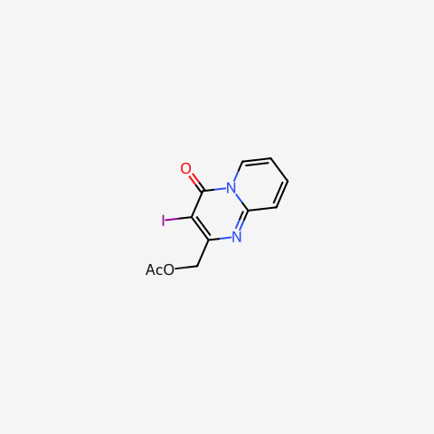 CC(=O)OCc1nc2ccccn2c(=O)c1I